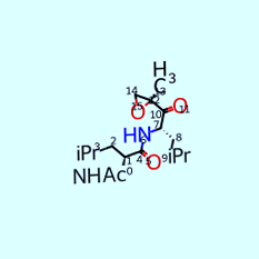 CC(=O)N[C@@H](CC(C)C)C(=O)N[C@@H](CC(C)C)C(=O)[C@@]1(C)CO1